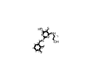 C[C@H](CO)Nc1nc(SCc2cccc(F)c2F)nc(O)c1[S]